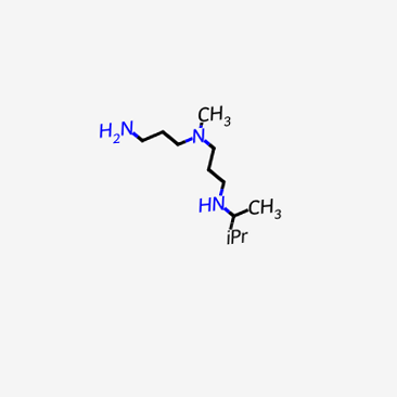 CC(C)C(C)NCCCN(C)CCCN